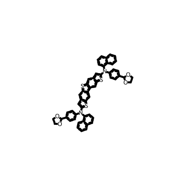 c1ccc2c(N(c3ccc(C4OCCO4)cc3)c3cc4cc5sc6cc7cc(N(c8ccc(C9OCCO9)cc8)c8cccc9ccccc89)sc7cc6c5cc4s3)cccc2c1